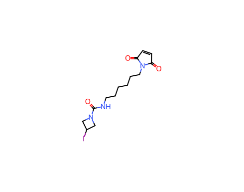 O=C(NCCCCCCN1C(=O)C=CC1=O)N1CC(I)C1